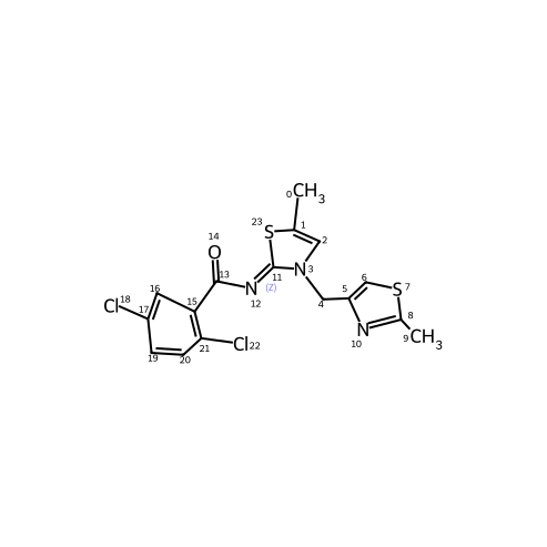 Cc1cn(Cc2csc(C)n2)/c(=N/C(=O)c2cc(Cl)ccc2Cl)s1